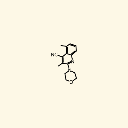 Cc1c(N2CCOCC2)nc2cccc(C)c2c1C#N